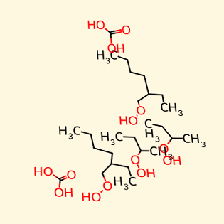 CCC(C)OO.CCC(C)OO.CCCCC(CC)COO.CCCCC(CC)COO.O=C(O)O.O=C(O)O